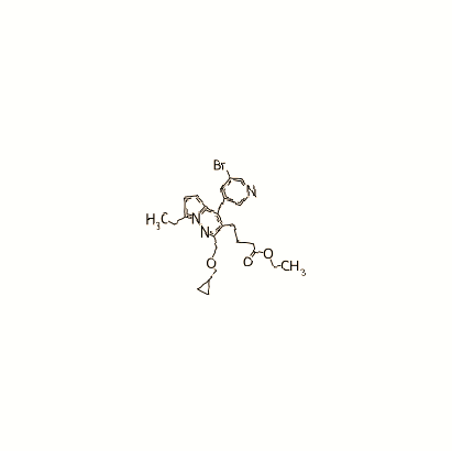 CCOC(=O)CCCc1c(COCC2CC2)nn2c(CC)ccc2c1-c1cncc(Br)c1